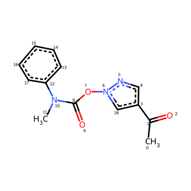 CC(=O)c1cnn(OC(=O)N(C)c2ccccc2)c1